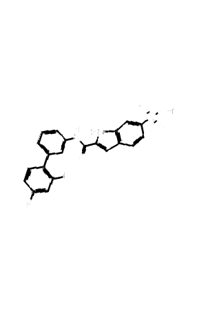 CS(=O)(=O)c1ccc2cc(C(=O)Nc3cccc(-c4ccc(F)cc4F)c3)[nH]c2c1